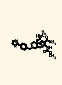 CNCCC1(n2cc(C(N)=O)c(NC(=O)OC)n2)CCN(Cc2ccc(-n3nccn3)cc2)CC1F